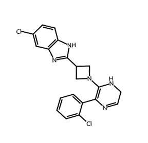 Clc1ccc2[nH]c(C3CN(C4=C(c5ccccc5Cl)N=CCN4)C3)nc2c1